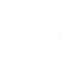 CC(C)[C@@H](N)c1ccc2oc3ccccc3c2c1